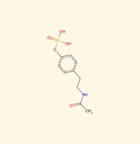 CC(=O)NCCc1ccc(OP(=O)(O)O)cc1